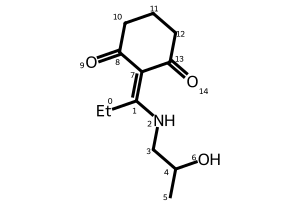 CCC(NCC(C)O)=C1C(=O)CCCC1=O